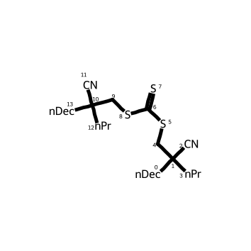 CCCCCCCCCCC(C#N)(CCC)CSC(=S)SCC(C#N)(CCC)CCCCCCCCCC